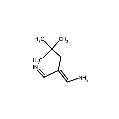 CC(C)(C)C/C(C=N)=C\N